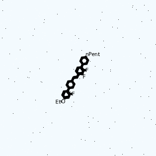 CCCCCC1CCC(c2ccc(/C=C/C3CCC(c4ccc(OCC)cc4F)CC3)c(F)c2F)CC1